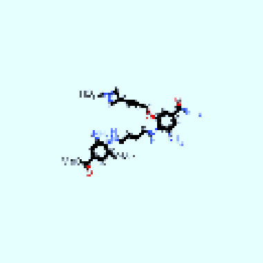 COC(=O)c1cc(N)c(NCC=CCNc2c(N)cc(C(N)=O)cc2OCC#CC2CN(C(=O)O)C2)c(OC)c1